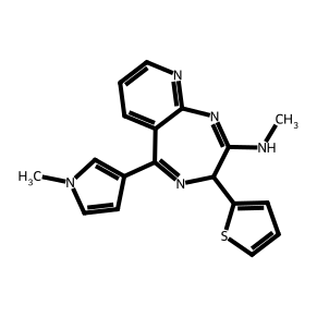 CNC1=Nc2ncccc2C(c2ccn(C)c2)=NC1c1cccs1